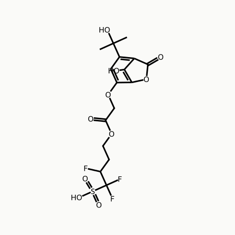 CC(C)(O)c1cc(OCC(=O)OCCC(F)C(F)(F)S(=O)(=O)O)c2c(O)c1C(=O)O2